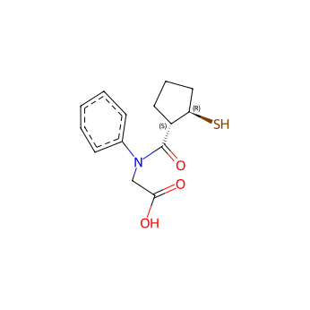 O=C(O)CN(C(=O)[C@@H]1CCC[C@H]1S)c1ccccc1